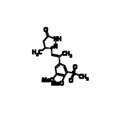 COc1cc(C(C)=CC2=NNC(=O)CC2C)cc(S(C)(=O)=O)c1OC